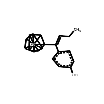 CCC=C(c1ccc(O)cc1)[C]12[CH]3[CH]4[CH]5[CH]1[Fe]45321678[CH]2[CH]1[CH]6[CH]7[CH]28